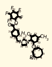 C1=C\CCCC\C=C/1.Cc1cc(C)c(N2C=CN(Cc3ccc(C(=O)Oc4c(F)c(F)c(F)c(F)c4F)cc3)C2)c(C)c1.[Rh]